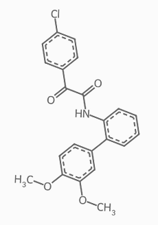 COc1ccc(-c2ccccc2NC(=O)C(=O)c2ccc(Cl)cc2)cc1OC